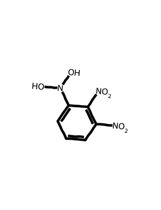 O=[N+]([O-])c1cccc(N(O)O)c1[N+](=O)[O-]